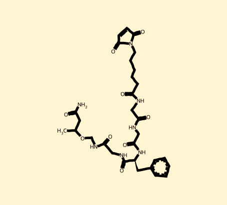 CC(CC(N)=O)OCNC(=O)CNC(=O)[C@H](Cc1ccccc1)NC(=O)CNC(=O)CNC(=O)CCCCCN1C(=O)C=CC1=O